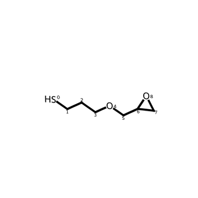 SCCCOCC1CO1